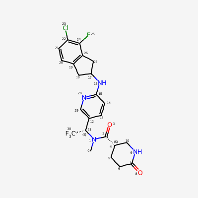 CN(C(=O)[C@H]1CCC(=O)NC1)[C@@H](c1ccc(NC2Cc3ccc(Cl)c(F)c3C2)nc1)C(F)(F)F